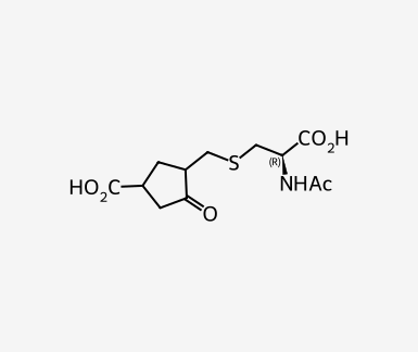 CC(=O)N[C@@H](CSCC1CC(C(=O)O)CC1=O)C(=O)O